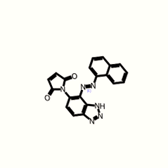 O=C1C=CC(=O)N1c1ccc2nn[nH]c2c1/N=N/c1cccc2ccccc12